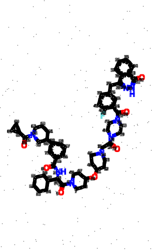 O=C(N[C@@H](C(=O)N1CCC(OC2CCN(CC(=O)N3CCN(C(=O)c4cc(Cc5n[nH]c(=O)c6ccccc56)ccc4F)CC3)CC2)CC1)C1CCCCC1)c1cccc(C2CCCN(C(=O)C3CC3)C2)c1